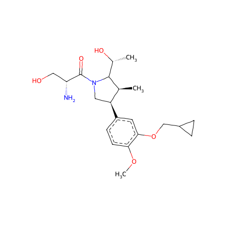 COc1ccc([C@H]2CN(C(=O)[C@H](N)CO)C([C@@H](C)O)[C@H]2C)cc1OCC1CC1